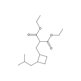 CCOC(=O)C(CC1CCC1CC(C)C)C(=O)OCC